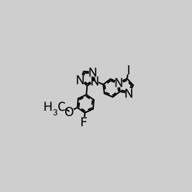 COc1cc(-c2ncnn2-c2ccc3ncc(I)n3c2)ccc1F